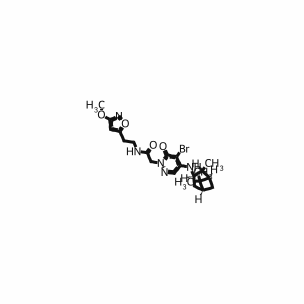 COc1cc(CCNC(=O)Cn2ncc(N[C@@H]3C[C@@H]4C[C@H]([C@H]3C)C4(C)C)c(Br)c2=O)on1